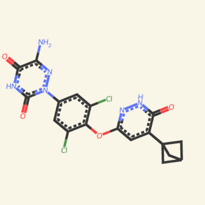 Nc1nn(-c2cc(Cl)c(Oc3cc(C45CC(C4)C5)c(=O)[nH]n3)c(Cl)c2)c(=O)[nH]c1=O